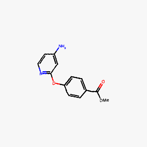 COC(=O)c1ccc(Oc2cc(N)ccn2)cc1